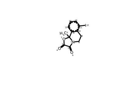 CC12OC(=O)C(=O)N1CCc1c(I)cccc12